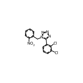 O=[N+]([O-])c1ccccc1Cn1nnnc1-c1cccc(Cl)c1Cl